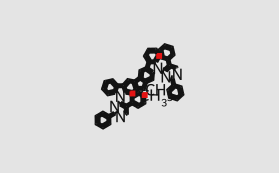 CC1(C)c2cc3c(cc2-c2cc4c5ccccc5n(-c5nc(-c6ccccc6)ncc5C5C=CC=CC5)c4cc21)c1ccccc1n3-c1nc(-c2ccccc2)ncc1-c1ccccc1